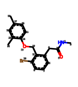 CNC(=O)Cc1cccc(Br)c1COc1ccc(C)cc1C